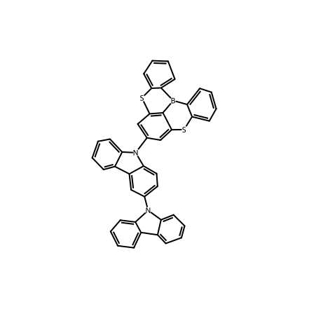 c1ccc2c(c1)Sc1cc(-n3c4ccccc4c4cc(-n5c6ccccc6c6ccccc65)ccc43)cc3c1B2c1ccccc1S3